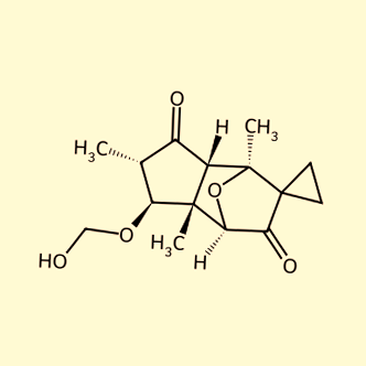 C[C@@H]1C(=O)[C@H]2[C@](C)([C@H]3O[C@]2(C)C2(CC2)C3=O)[C@H]1OCO